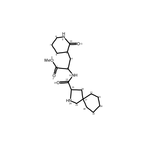 COC(=O)C(CC1CCCNC1=O)NC(=O)C1CC2(CCCCC2)CN1